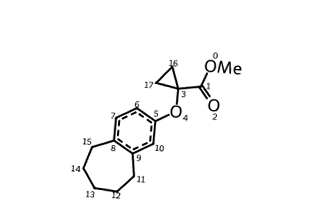 COC(=O)C1(Oc2ccc3c(c2)CCCCC3)CC1